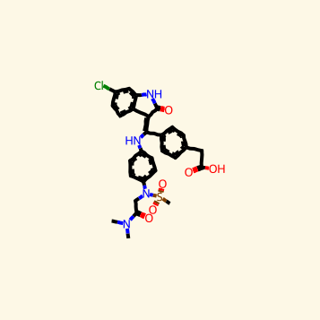 CN(C)C(=O)CN(c1ccc(NC(=C2C(=O)Nc3cc(Cl)ccc32)c2ccc(CC(=O)O)cc2)cc1)S(C)(=O)=O